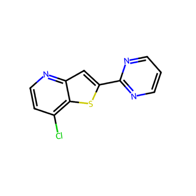 Clc1ccnc2cc(-c3ncccn3)sc12